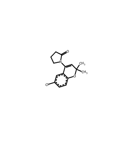 CC1(C)C=C(N2CCCC2=O)c2cc(Cl)ccc2O1